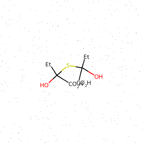 CCC(O)(SC(O)(CC)C(=O)O)C(=O)O